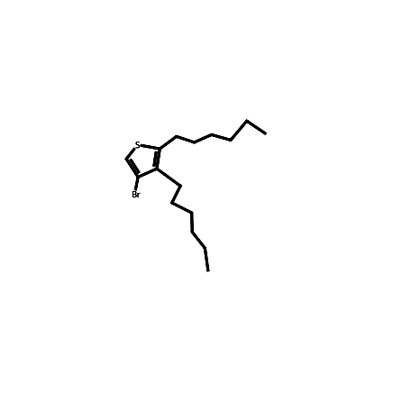 CCCCCCc1scc(Br)c1CCCCCC